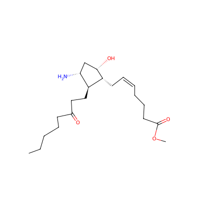 CCCCCC(=O)CC[C@@H]1[C@@H](C/C=C\CCCC(=O)OC)[C@@H](O)C[C@H]1N